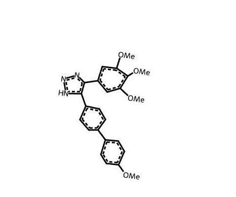 COc1ccc(-c2ccc(-c3[nH]nnc3-c3cc(OC)c(OC)c(OC)c3)cc2)cc1